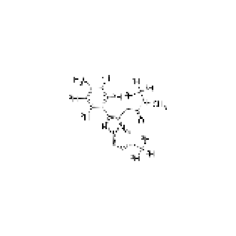 [2H]c1c([2H])c(-c2nc3ccc(C([2H])([2H])[2H])cn3c2CC(=O)N(C)C([2H])([2H])[2H])c([2H])c([2H])c1C